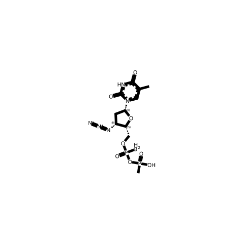 BP(=O)(OC[C@H]1O[C@@H](n2cc(C)c(=O)[nH]c2=O)C[C@H]1N=[N+]=[N-])OP(C)(=O)O